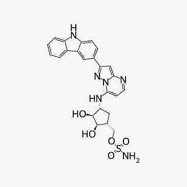 NS(=O)(=O)OC[C@H]1C[C@@H](Nc2ccnc3cc(-c4ccc5[nH]c6ccccc6c5c4)nn23)[C@H](O)[C@@H]1O